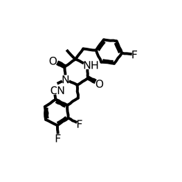 CN1C(=O)C(C)(Cc2ccc(F)cc2)NC(=O)C1Cc1c(C#N)ccc(F)c1F